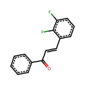 O=C(C=Cc1cccc(F)c1F)c1ccccc1